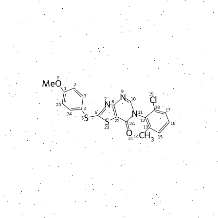 COc1ccc(Sc2nc3ncn(-c4c(C)cccc4Cl)c(=O)c3s2)cc1